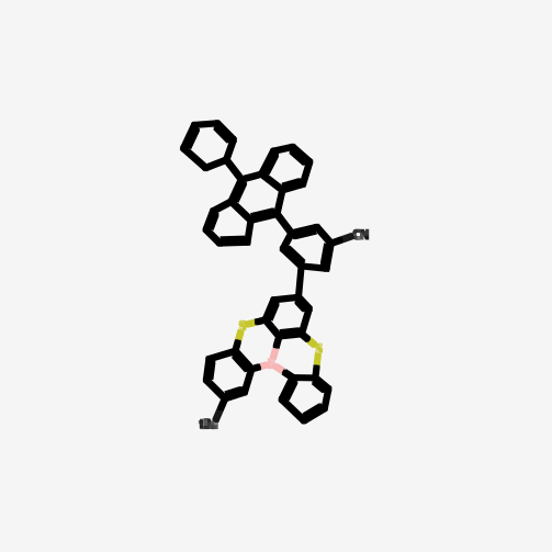 CC(C)(C)c1ccc2c(c1)B1c3ccccc3Sc3cc(-c4cc(C#N)cc(-c5c6ccccc6c(C6C=CC=CC6)c6ccccc56)c4)cc(c31)S2